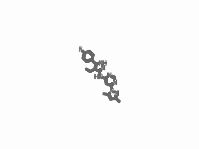 CCc1c(Nc2cc(-n3nc(C)cc3C)ncn2)n[nH]c1-c1ccc(F)cc1